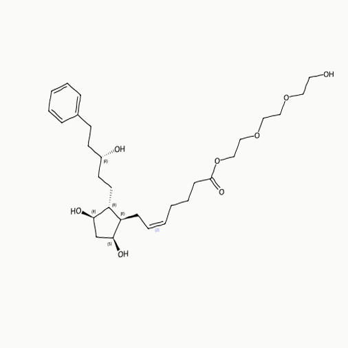 O=C(CCC/C=C\C[C@@H]1[C@@H](CC[C@@H](O)CCc2ccccc2)[C@H](O)C[C@@H]1O)OCCOCCOCCO